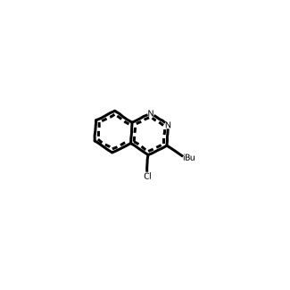 CCC(C)c1nnc2ccccc2c1Cl